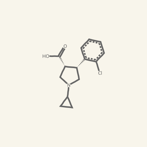 O=C(O)[C@H]1CN(C2CC2)C[C@H]1c1ccccc1Cl